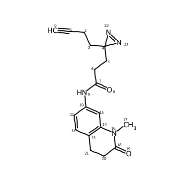 C#CCCC1(CCC(=O)Nc2ccc3c(c2)N(C)C(=O)CC3)N=N1